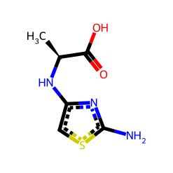 C[C@H](Nc1csc(N)n1)C(=O)O